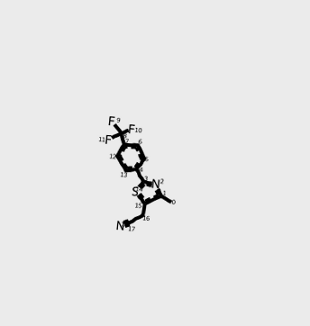 Cc1nc(-c2ccc(C(F)(F)F)cc2)sc1CC#N